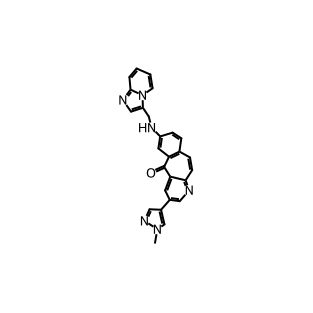 Cn1cc(-c2cnc3ccc4ccc(NCc5cnc6ccccn56)cc4c(=O)c3c2)cn1